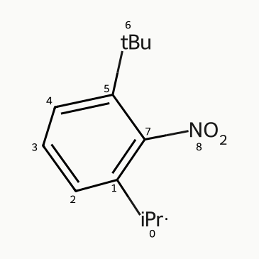 C[C](C)c1cccc(C(C)(C)C)c1[N+](=O)[O-]